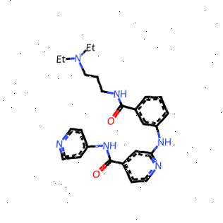 CCN(CC)CCCNC(=O)c1cccc(Nc2cc(C(=O)Nc3ccncc3)ccn2)c1